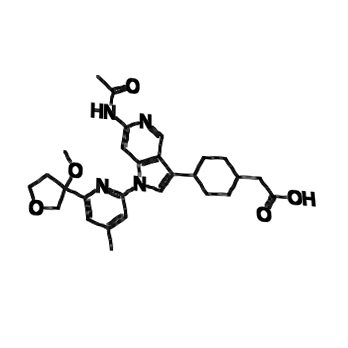 COC1(c2cc(C)cc(-n3cc(C4CCC(CC(=O)O)CC4)c4cnc(NC(C)=O)cc43)n2)CCOC1